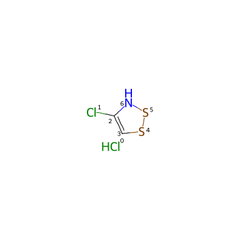 Cl.ClC1=CSSN1